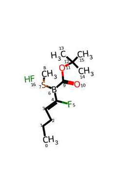 CCC/C=C(\F)B(SC)C(=O)OC(C)(C)C.F